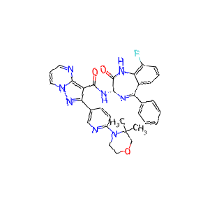 CC1(C)COCCN1c1ccc(-c2nn3cccnc3c2C(=O)N[C@H]2N=C(c3ccccc3)c3cccc(F)c3NC2=O)cn1